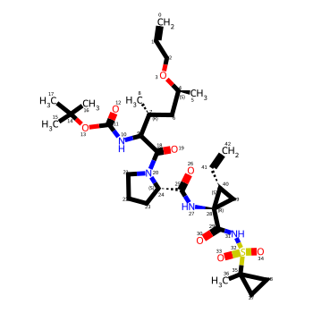 C=CCO[C@@H](C)C[C@@H](C)C(NC(=O)OC(C)(C)C)C(=O)N1CCC[C@H]1C(=O)N[C@]1(C(=O)NS(=O)(=O)C2(C)CC2)C[C@H]1C=C